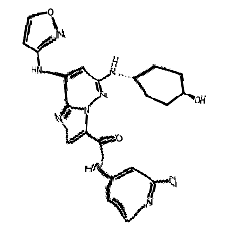 O=C(Nc1ccnc(Cl)c1)c1cnc2c(Nc3ccon3)cc(N[C@H]3CC[C@H](O)CC3)nn12